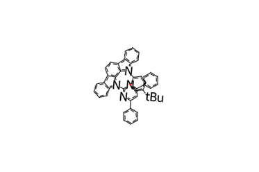 CC(C)(C)c1ccc(-n2c3ccccc3c3ccc4c5ccccc5n(-c5nc(-c6ccccc6)cc(-c6ccccc6)n5)c4c32)cc1